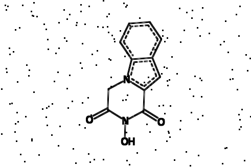 O=C1Cn2c(cc3ccccc32)C(=O)N1O